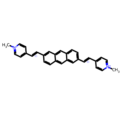 C[n+]1ccc(/C=C/c2ccc3cc4cc(/C=C/c5cc[n+](C)cc5)ccc4cc3c2)cc1